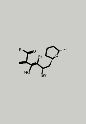 C=C(C(=O)CC)/C(O)=C(\CC)[C@H](CCC)C[C@H]1CCC[C@H](C)O1